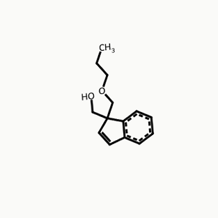 CCCOCC1(CO)C=Cc2ccccc21